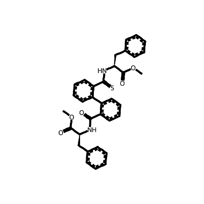 COC(=O)[C@H](Cc1ccccc1)NC(=O)c1ccccc1-c1ccccc1C(=S)N[C@@H](Cc1ccccc1)C(=O)OC